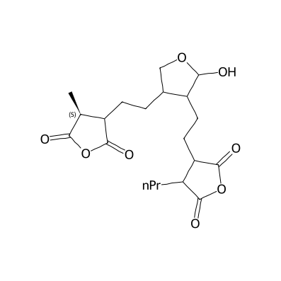 CCCC1C(=O)OC(=O)C1CCC1C(CCC2C(=O)OC(=O)[C@H]2C)COC1O